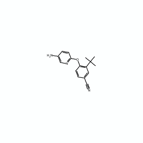 CC(C)(C)c1cc(C#N)ccc1Oc1ccc(N)cn1